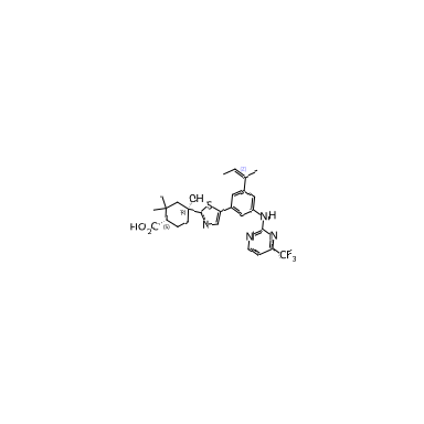 C/C=C(/C)c1cc(Nc2nccc(C(F)(F)F)n2)cc(-c2cnc([C@@]3(O)CC[C@H](C(=O)O)C(C)(C)C3)s2)c1